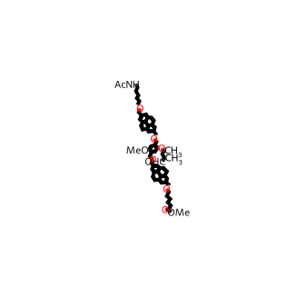 COC(=O)CCCCCOCc1cc2ccc3cc(COCc4cc(OC(C)CC(C)C=O)c(COCc5cc6ccc7cc(COCCCCCCNC(C)=O)cc8ccc(c5)c6c78)cc4OC)cc4ccc(c1)c2c34